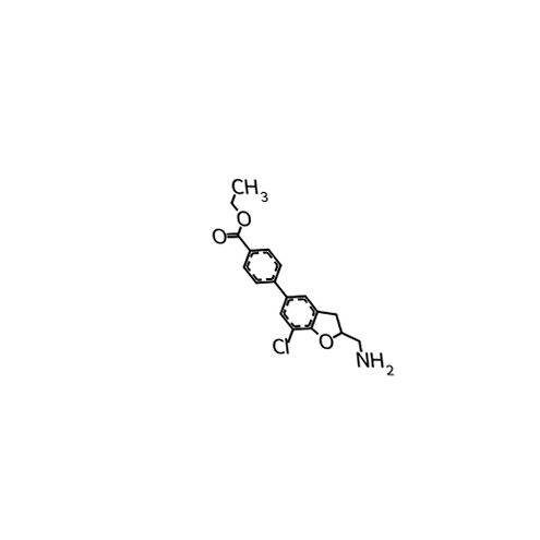 CCOC(=O)c1ccc(-c2cc(Cl)c3c(c2)CC(CN)O3)cc1